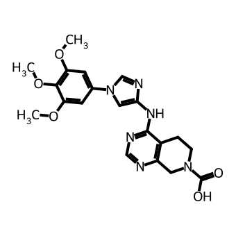 COc1cc(-n2cnc(Nc3ncnc4c3CCN(C(=O)O)C4)c2)cc(OC)c1OC